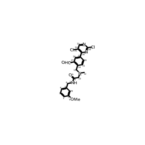 COc1cccc(CNC(=O)CN(C)Cc2ccc(-c3nc(Cl)ncc3Cl)cc2C=O)c1